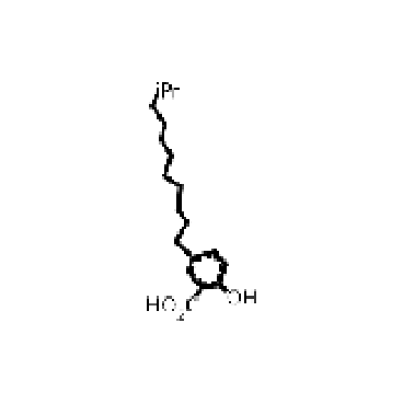 CC(C)CCCCCCCCCc1ccc(O)c(C(=O)O)c1